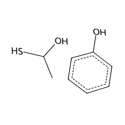 CC(O)S.Oc1ccccc1